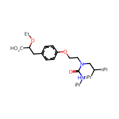 CCCC(CCC)CN(CCOc1ccc(CC(OCC)C(=O)O)cc1)C(=O)NC(C)C